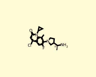 Cc1c(N2CCC([C@H](C)N)C2)c(F)cc2c(Cl)cc(=O)n(C3CC3)c12